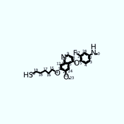 CNc1ccc(Oc2ccnc3cc(OCCCCCS)c(OC)cc23)c(F)c1